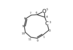 C1=CCCC2OC2CC=CCC1